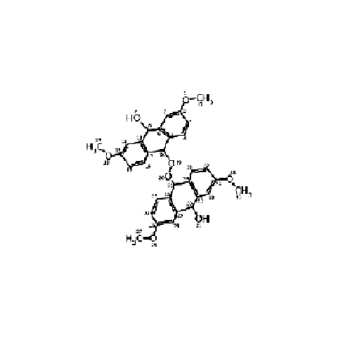 COc1ccc2c(c1)C(O)c1cc(OC)ccc1C2OOC1c2ccc(OC)cc2C(O)c2cc(OC)ccc21